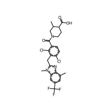 Cc1cc(C(F)(F)F)cc2c1nc(Cc1c(Cl)ccc(C(=O)N3CCC(C(=O)O)C(C)C3)c1Cl)n2C